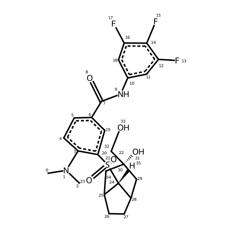 CN(C)c1ccc(C(=O)Nc2cc(F)c(F)c(F)c2)cc1S(=O)(=O)[C@H]1C2CCC1C[C@](O)(CO)C2